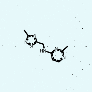 Cc1nccc(NCc2nnc(C)s2)n1